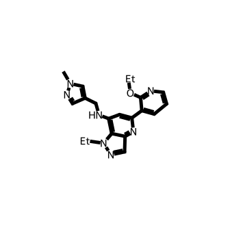 CCOc1ncccc1-c1cc(NCc2cnn(C)c2)c2c(cnn2CC)n1